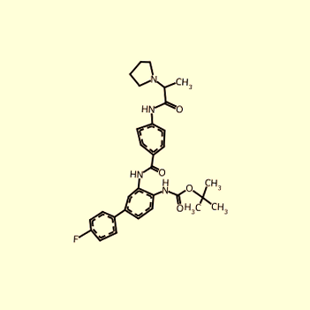 CC(C(=O)Nc1ccc(C(=O)Nc2cc(-c3ccc(F)cc3)ccc2NC(=O)OC(C)(C)C)cc1)N1CCCC1